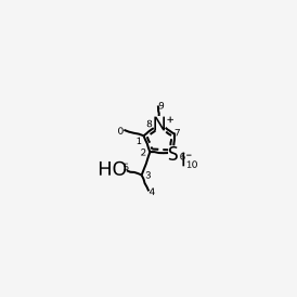 Cc1c(C(C)O)sc[n+]1C.[I-]